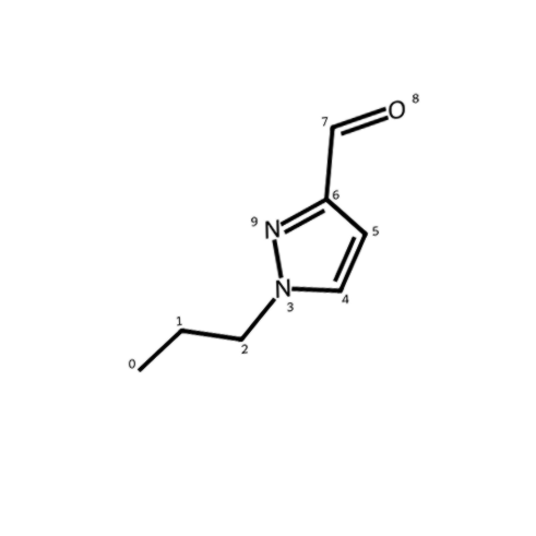 CCCn1ccc(C=O)n1